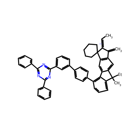 C=C1/C(=C\C)C2(CCCCC2)c2cc3c(cc21)C(C)(CC)c1cccc(-c2ccc(-c4cccc(-c5nc(-c6ccccc6)nc(-c6ccccc6)n5)c4)cc2)c1-3